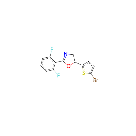 Fc1cccc(F)c1C1=NCC(c2ccc(Br)s2)O1